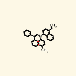 C=Cc1ccc(N(C=C(c2ccccc2)c2ccccc2)c2ccc(C)cc2)c2ccccc12